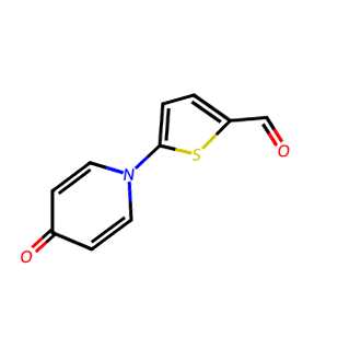 O=Cc1ccc(-n2ccc(=O)cc2)s1